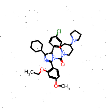 CCOc1cc(OC)ccc1C1=NC(C2CCCCC2)C(c2ccc(Cl)cc2)N1C(=O)N1CCC(N2CCCC2)CC1